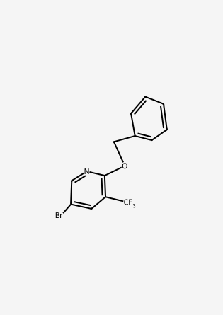 FC(F)(F)c1cc(Br)cnc1OCc1ccccc1